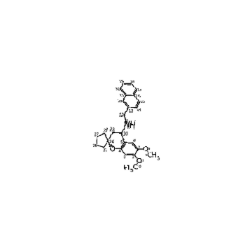 COc1cc2c(cc1OC)C(NCc1ccc3ccccc3c1)CC1(CCCC1)O2